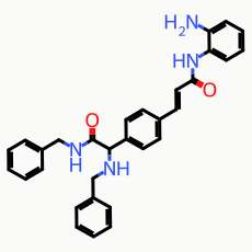 Nc1ccccc1NC(=O)C=Cc1ccc(C(NCc2ccccc2)C(=O)NCc2ccccc2)cc1